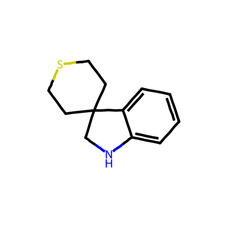 c1ccc2c(c1)NCC21CCSCC1